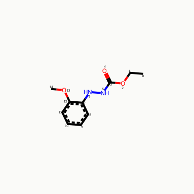 CCOC(=O)NNc1ccccc1OC